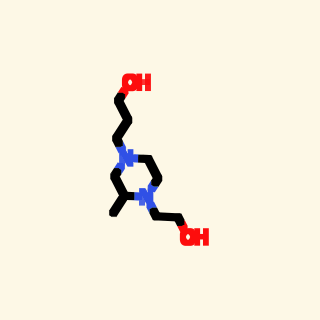 CC1CN(CCCO)CCN1CCO